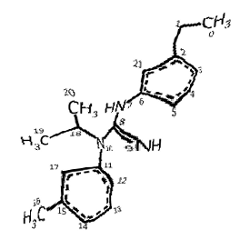 CCc1cccc(NC(=N)N(c2cccc(C)c2)C(C)C)c1